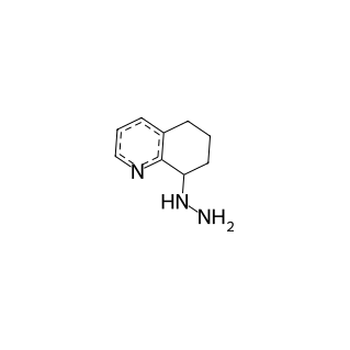 NNC1CCCc2cccnc21